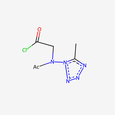 CC(=O)N(CC(=O)Cl)n1nnnc1C